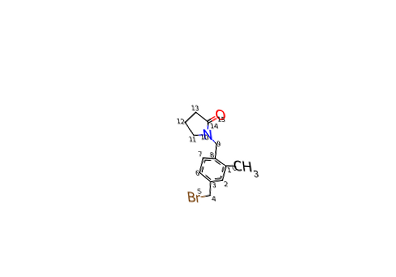 Cc1cc(CBr)ccc1CN1CCCC1=O